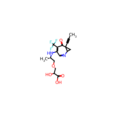 CC#CC12CC1N=CC(N[C@H](C)COCC(O)C(=O)O)=C(C(F)(F)F)C2=O